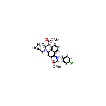 C#CCN(c1ccc(N(CC(=O)OC)Sc2ccc(F)cc2)c2ccccc12)[C@@H](C)CC(=O)OC